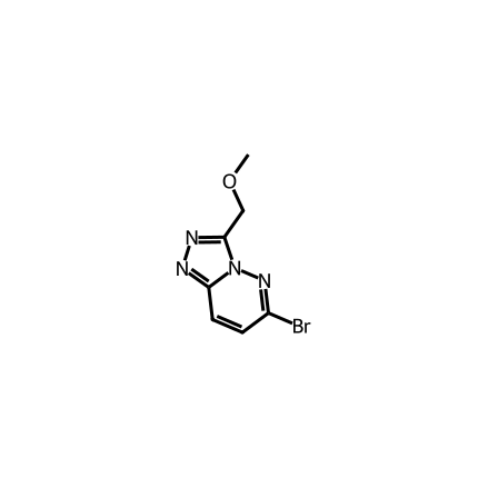 COCc1nnc2ccc(Br)nn12